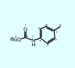 Cc1ccc(NC(=O)OCC(C)C)cc1